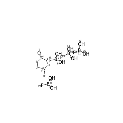 CN1CCC(=O)CC1.OB(O)F.OB(O)F.OB(O)F.OB(O)F